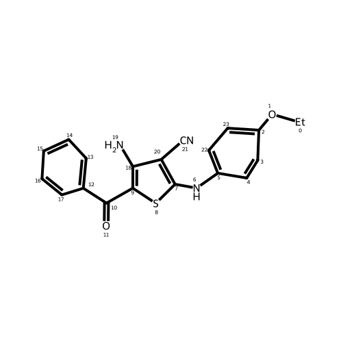 CCOc1ccc(Nc2sc(C(=O)c3ccccc3)c(N)c2C#N)cc1